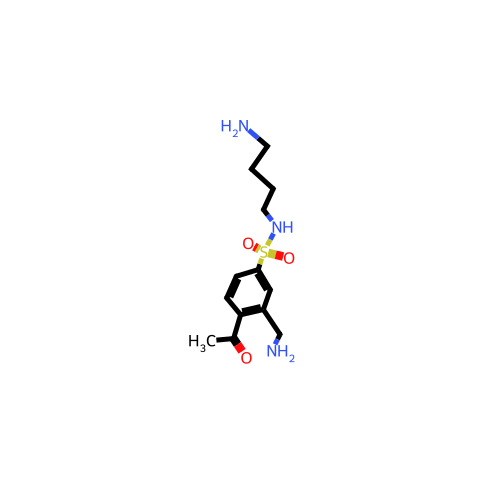 CC(=O)c1ccc(S(=O)(=O)NCCCCN)cc1CN